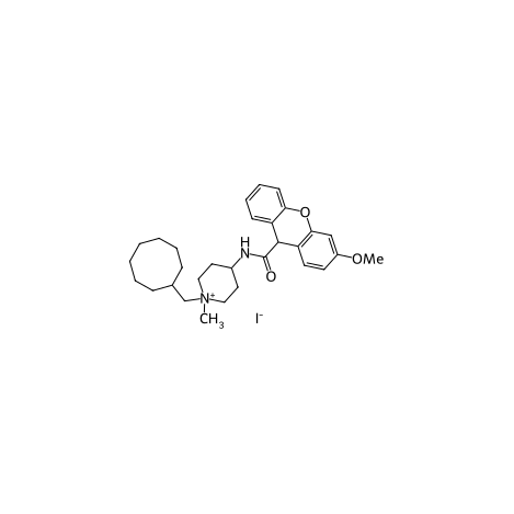 COc1ccc2c(c1)Oc1ccccc1C2C(=O)NC1CC[N+](C)(CC2CCCCCCC2)CC1.[I-]